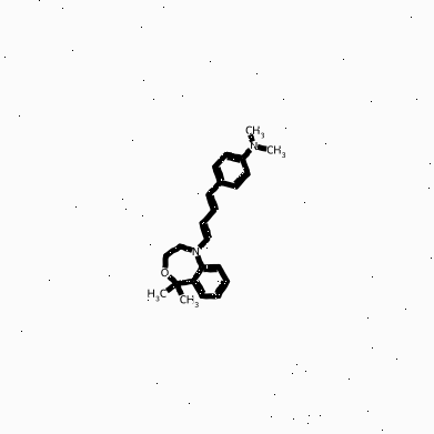 CN(C)c1ccc(C=CC=CN2CCOC(C)(C)c3ccccc32)cc1